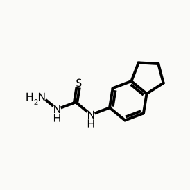 NNC(=S)Nc1ccc2c(c1)CCC2